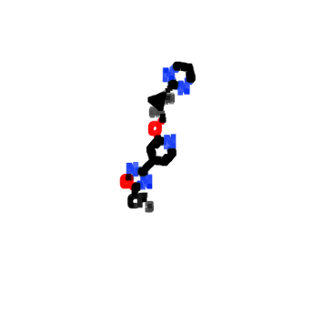 FC(F)(F)c1nc(-c2ccnc(OC[C@@H]3C[C@@H]3c3ncccn3)c2)no1